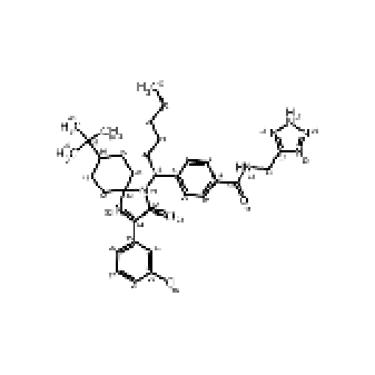 CCCCC[C@@H](c1ccc(C(=O)NCc2nn[nH]n2)cc1)N1C(=O)C(c2cccc(Cl)c2)=NC12CCC(C(C)(C)C)CC2